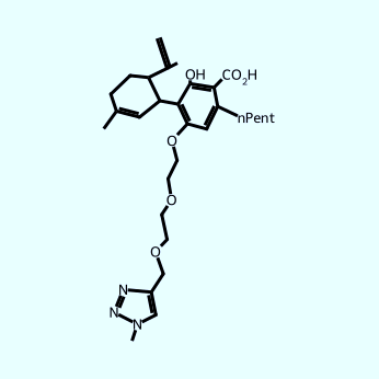 C=C(C)C1CCC(C)=CC1c1c(OCCOCCOCc2cn(C)nn2)cc(CCCCC)c(C(=O)O)c1O